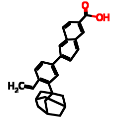 C=Cc1ccc(-c2ccc3cc(C(=O)O)ccc3c2)cc1C12CC3CC(CC(C3)C1)C2